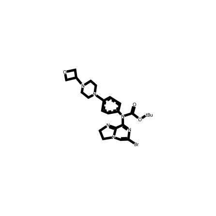 CC(C)(C)OC(=O)N(C1=NC(Br)=CN2CCN=C12)c1ccc(N2CCN(C3COC3)CC2)cc1